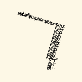 CC(=O)[O-].CC(=O)[O-].CC(=O)[O-].CC(=O)[O-].CC(=O)[O-].CC(=O)[O-].CC(=O)[O-].CC(=O)[O-].CC(=O)[O-].CC(=O)[O-].CC(=O)[O-].CC(=O)[O-].CC(=O)[O-].CC(=O)[O-].CC(=O)[O-].CC(=O)[O-].CC(=O)[O-].CC(=O)[O-].CC(=O)[O-].CC(=O)[O-].CC(=O)[O-].CC(=O)[O-].[Au+3].[Co+2].[Fe+2].[K+].[Mg+2].[Ni+2].[Pd+2].[Re+4].[Ti+4]